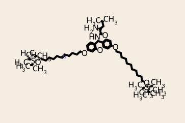 CC(C)C[C@H](N)C(=O)NC1c2ccc(OCCCC/C=C/CCCCCO[Si](C(C)C)(C(C)C)C(C)C)cc2Oc2cc(OCCCCCCCCCCCO[Si](C(C)C)(C(C)C)C(C)C)ccc21